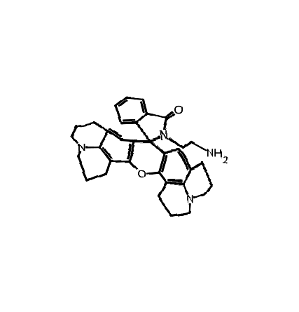 NCCN1C(=O)c2ccccc2C12c1cc3c4c(c1Oc1c2cc2c5c1CCCN5CCC2)CCCN4CCC3